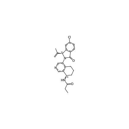 C=C(C)[C@H]1c2cc(Cl)ccc2C(=O)N1c1cncc2c1CCC[C@H]2NC(=O)CC